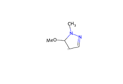 COC1[C]C=NN1C